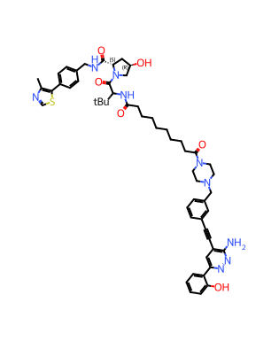 Cc1ncsc1-c1ccc(CNC(=O)[C@@H]2C[C@@H](O)CN2C(=O)C(NC(=O)CCCCCCCCC(=O)N2CCN(Cc3cccc(C#Cc4cc(-c5ccccc5O)nnc4N)c3)CC2)C(C)(C)C)cc1